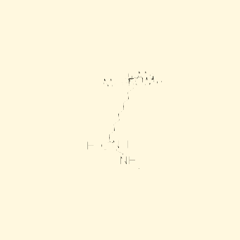 CO[Si](CCCCCCCCCCC(C)NCCN)(OC)OC